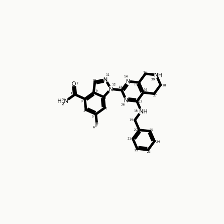 NC(=O)c1cc(F)cc2c1cnn2-c1nc2c(c(NCc3ccccc3)n1)CCNC2